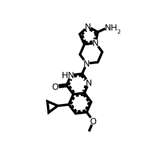 COc1cc(C2CC2)c2c(=O)[nH]c(N3CCn4c(cnc4N)C3)nc2c1